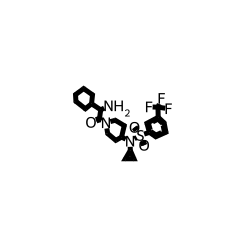 NC(C(=O)N1CCC(N(C2CC2)S(=O)(=O)c2cccc(C(F)(F)F)c2)CC1)C1CCCCC1